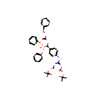 CC(C)(C)OC(=O)/N=C(\NC(=O)OC(C)(C)C)Nc1ccc(C(NC(=O)OCc2ccccc2)P(=O)(Oc2ccccc2)Oc2ccccc2)cc1